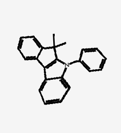 CC1(C)c2ccccc2-c2c1n(-c1ccccc1)c1ccccc21